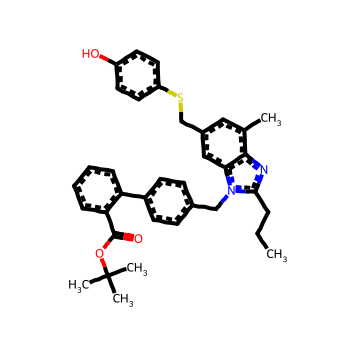 CCCc1nc2c(C)cc(CSc3ccc(O)cc3)cc2n1Cc1ccc(-c2ccccc2C(=O)OC(C)(C)C)cc1